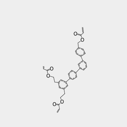 C=CC(=O)OCCc1cc(CCOC(=O)C=C)cc(-c2ccc(-c3cccc(-c4ccc(COC(=O)C=C)cc4)c3)cc2)c1